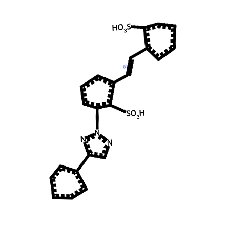 O=S(=O)(O)c1ccccc1/C=C/c1cccc(-n2ncc(-c3ccccc3)n2)c1S(=O)(=O)O